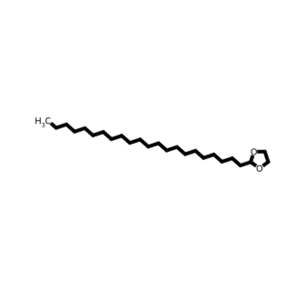 CCCCCCCCCCCCCCCCCCCCCCC1OCCO1